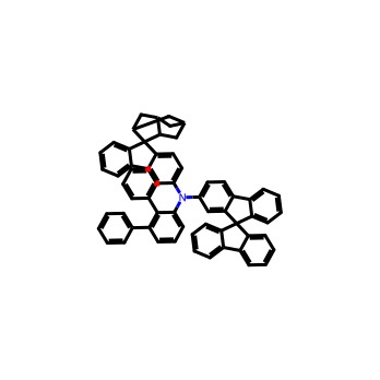 c1ccc(-c2cccc(N(c3ccc4c(c3)-c3ccccc3C43C4CC5CC(C4)C3C5)c3ccc4c(c3)C3(c5ccccc5-c5ccccc53)c3ccccc3-4)c2-c2ccccc2)cc1